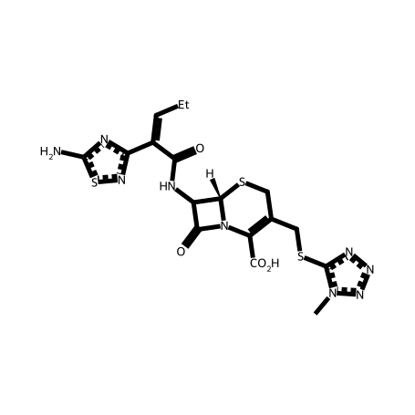 CC/C=C(\C(=O)NC1C(=O)N2C(C(=O)O)=C(CSc3nnnn3C)CS[C@@H]12)c1nsc(N)n1